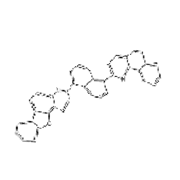 c1cnc2c(c1)ccc1ccc(-c3cccc4c(-c5ccc6c(ccc7c8ccccc8oc67)n5)cccc34)nc12